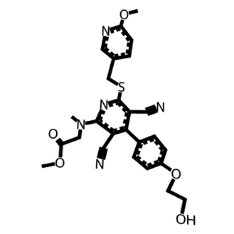 COC(=O)CN(C)c1nc(SCc2ccc(OC)nc2)c(C#N)c(-c2ccc(OCCO)cc2)c1C#N